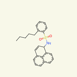 CCCCCc1ccccc1S(=O)(=O)NC1C=Cc2cccc3cccc1c23